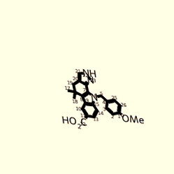 COc1ccc(Cn2c3c(c4cc(C(=O)O)ccc42)C(C)(C)Cc2c[nH]nc2-3)cc1